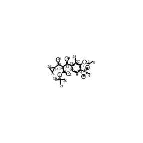 CCOc1c(S(C)(=O)=O)ccc(C(=O)C(C(=O)OC(C)(C)C)C(=O)C2CC2)c1C